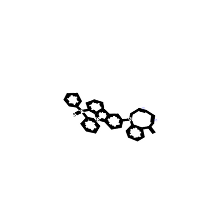 C=C1/C=C\C=C/CN(c2ccc3oc4c(P(=S)(c5ccccc5)c5ccccc5)cccc4c3c2)c2ccccc21